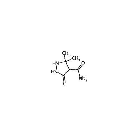 CC1(C)NNC(=O)C1C(N)=O